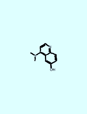 CN(C)c1ccnc2ccc(O)cc12